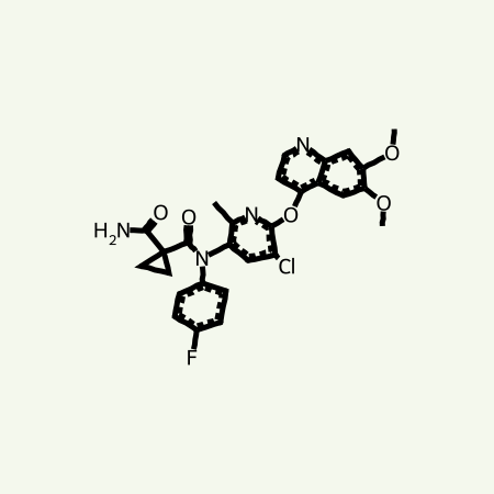 COc1cc2nccc(Oc3nc(C)c(N(C(=O)C4(C(N)=O)CC4)c4ccc(F)cc4)cc3Cl)c2cc1OC